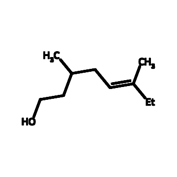 CCC(C)=CCC(C)CCO